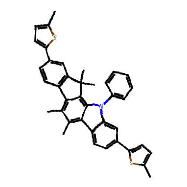 Cc1ccc(-c2ccc3c(c2)C(C)(C)c2c-3c(C)c(C)c3c4ccc(-c5ccc(C)s5)cc4n(-c4ccccc4)c23)s1